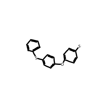 [S]c1ccc(Oc2ccc(Sc3ccccc3)cc2)cc1